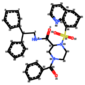 O=C(NCC(c1ccccc1)c1ccccc1)C1CN(C(=O)c2ccccc2)CCN1S(=O)(=O)c1cccc2cccnc12